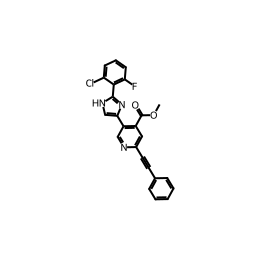 COC(=O)c1cc(C#Cc2ccccc2)ncc1-c1c[nH]c(-c2c(F)cccc2Cl)n1